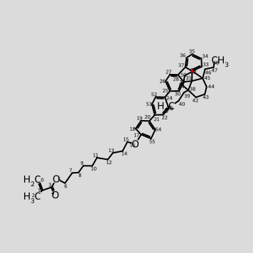 C=C(C)C(=O)OCCCCCCCCCCOc1ccc(-c2ccc(-c3ccc4c(c3)C3(c5ccccc5-4)C4(CCC)CCCC3(CCC)CCC4)cc2)cc1